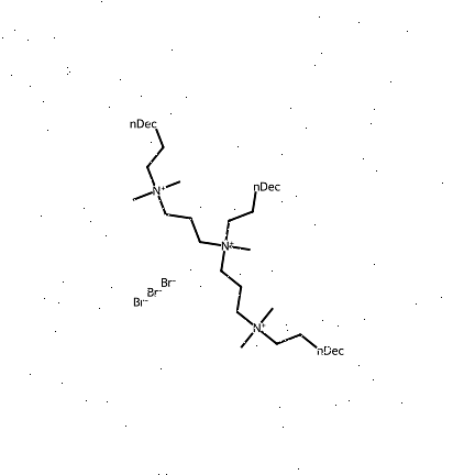 CCCCCCCCCCCC[N+](C)(C)CCC[N+](C)(CCCCCCCCCCCC)CCC[N+](C)(C)CCCCCCCCCCCC.[Br-].[Br-].[Br-]